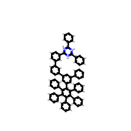 c1ccc(-c2cc(-c3cccc(-c4cccc(-c5nc(-c6ccccc6)nc(-c6ccccc6)n5)c4)c3)cc(-c3c(-c4ccccc4)c(-c4ccccc4)c(-c4ccccc4)c(-c4ccccc4)c3-c3ccccc3)c2)cc1